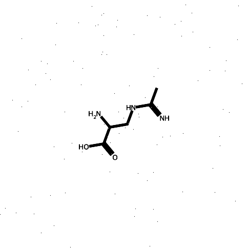 CC(=N)NCC(N)C(=O)O